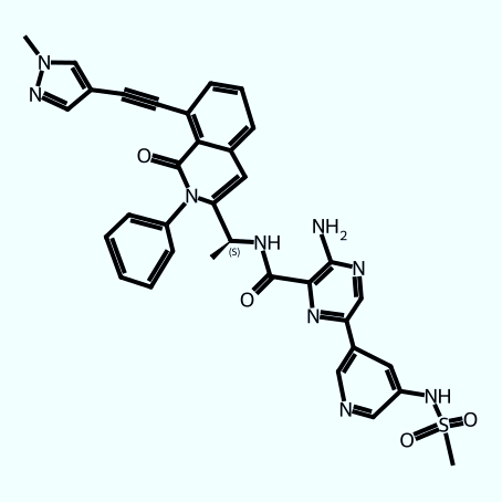 C[C@H](NC(=O)c1nc(-c2cncc(NS(C)(=O)=O)c2)cnc1N)c1cc2cccc(C#Cc3cnn(C)c3)c2c(=O)n1-c1ccccc1